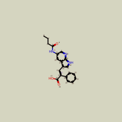 CCCC(=O)Nc1cnc2[nH]cc(/C=C(/C(=O)O)c3ccccc3)c2c1